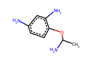 CC(N)Oc1ccc(N)cc1N